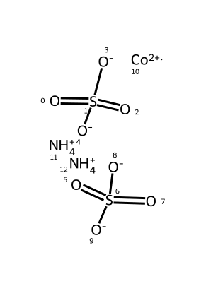 O=S(=O)([O-])[O-].O=S(=O)([O-])[O-].[Co+2].[NH4+].[NH4+]